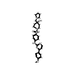 COc1ccc(-c2ccnc(Nc3ccc(S(=O)(=O)N4CCC(O)(CN5CCCC5)CC4)cc3)n2)cc1